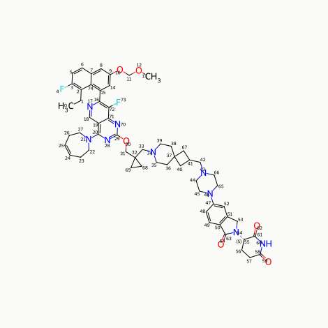 CCc1c(F)ccc2cc(OCOC)cc(-c3ncc4c(N5CCC=CCC5)nc(OCC5(CN6CCC7(CC6)CC(CN6CCN(c8ccc9c(c8)CN([C@H]8CCC(=O)NC8=O)C9=O)CC6)C7)CC5)nc4c3F)c12